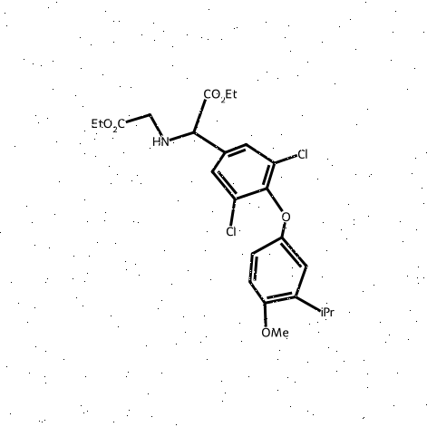 CCOC(=O)CNC(C(=O)OCC)c1cc(Cl)c(Oc2ccc(OC)c(C(C)C)c2)c(Cl)c1